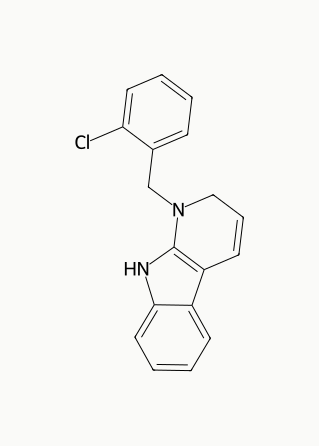 Clc1ccccc1CN1CC=Cc2c1[nH]c1ccccc21